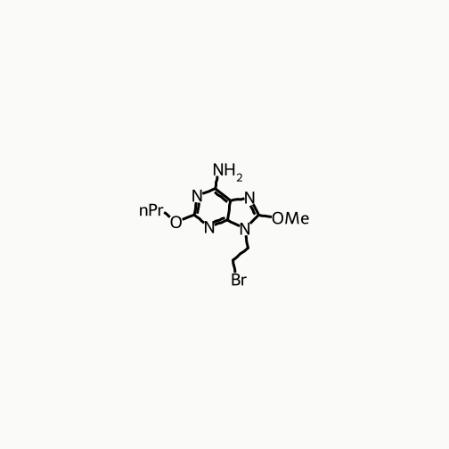 CCCOc1nc(N)c2nc(OC)n(CCBr)c2n1